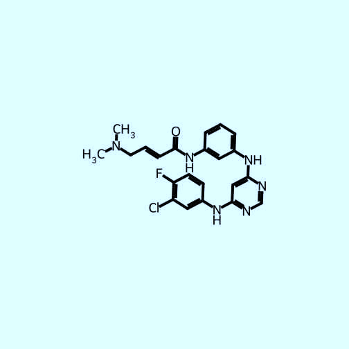 CN(C)CC=CC(=O)Nc1cccc(Nc2cc(Nc3ccc(F)c(Cl)c3)ncn2)c1